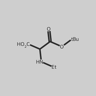 CCNC(C(=O)O)C(=O)OC(C)(C)C